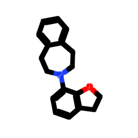 c1ccc2c(c1)CCN(c1cccc3c1OCC3)CC2